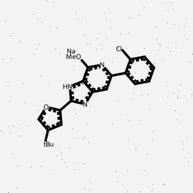 COc1nc(-c2ccccc2Cl)cc2nc(-c3cc(C(C)(C)C)co3)[nH]c12.[Na]